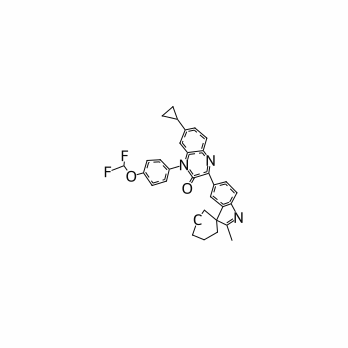 CC1=Nc2ccc(-c3nc4ccc(C5CC5)cc4n(-c4ccc(OC(F)F)cc4)c3=O)cc2C12CCCCC2